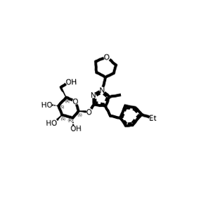 CCc1ccc(Cc2c(O[C@@H]3O[C@H](CO)[C@@H](O)[C@H](O)[C@H]3O)nn(C3CCOCC3)c2C)cc1